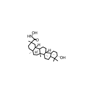 CC1(C)C2CC[C@]3(C)[C@H](CC[C@@H]4[C@H]5C[C@@](C)(C(=O)NO)CC[C@]5(C)CC[C@]43C)[C@@]2(C)CC[C@@H]1O